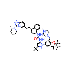 CC(C)[Si](Oc1ccc(-n2nc(C(C)(C)C)cc2NC(=O)N[C@H]2CC[C@@H](CCc3ccc4nnc(N5CCCC[C@@H]5C)n4c3)c3ccccc32)cc1CN1CCN(C)CC1)(C(C)C)C(C)C